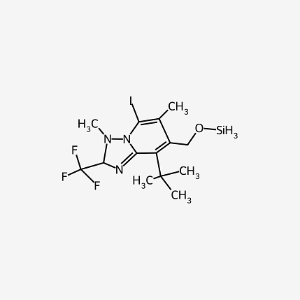 CC1=C(I)N2C(=NC(C(F)(F)F)N2C)C(C(C)(C)C)=C1CO[SiH3]